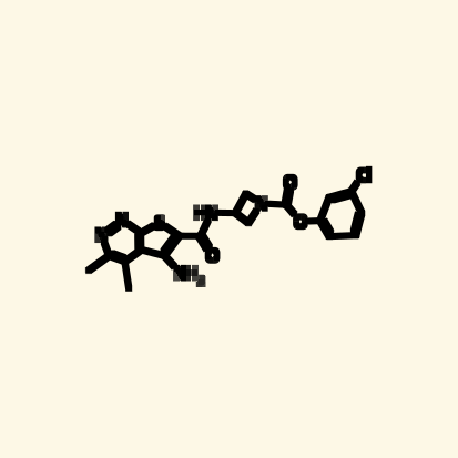 Cc1nnc2sc(C(=O)NC3CN(C(=O)Oc4cccc(Cl)c4)C3)c(N)c2c1C